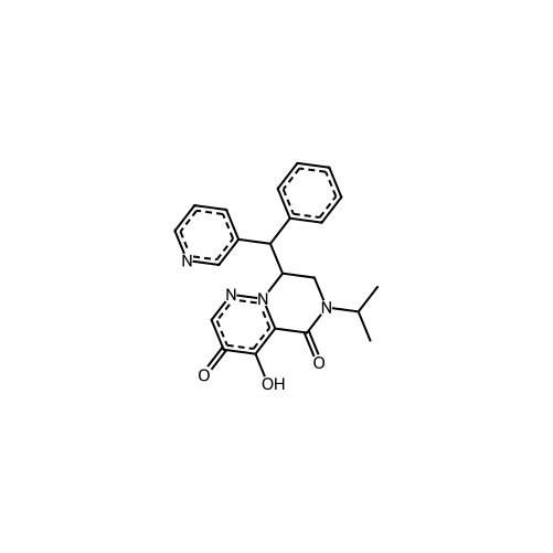 CC(C)N1CC(C(c2ccccc2)c2cccnc2)n2ncc(=O)c(O)c2C1=O